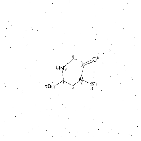 CC(C)N1CC(C(C)(C)C)NCC1=O